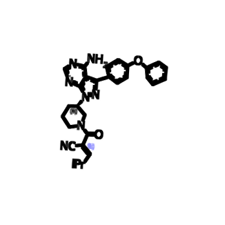 CC(C)/C=C(\C#N)C(=O)N1CCC[C@@H](n2nc(-c3ccc(Oc4ccccc4)cc3)c3c(N)ncnc32)C1